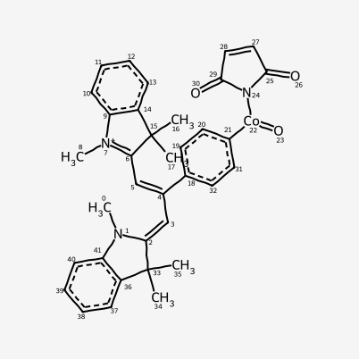 CN1/C(=C\C(=C\C2=[N+](C)c3ccccc3C2(C)C)c2cc[c]([Co](=[O])[N]3C(=O)C=CC3=O)cc2)C(C)(C)c2ccccc21